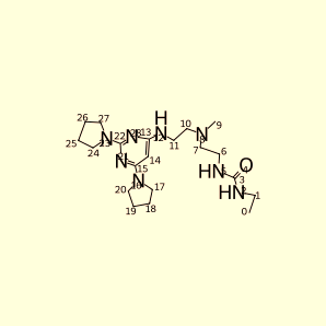 CCNC(=O)NCCN(C)CCNc1cc(N2CCCC2)nc(N2CCCC2)n1